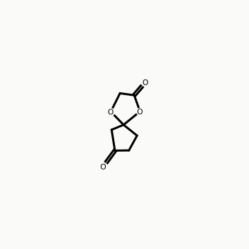 O=C1CCC2(C1)OCC(=O)O2